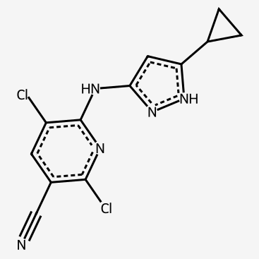 N#Cc1cc(Cl)c(Nc2cc(C3CC3)[nH]n2)nc1Cl